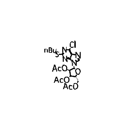 CCCCSc1nc(Cl)c2ncn([C@@H]3O[C@H](COC(C)=O)[C@@H](OC(C)=O)[C@H]3OC(C)=O)c2n1